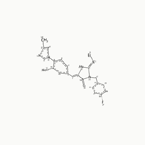 CC/N=C1\N/C(=C\c2ccc(-n3cnc(C)c3)c(OC)c2)C(=O)N1Cc1ccc(F)cc1